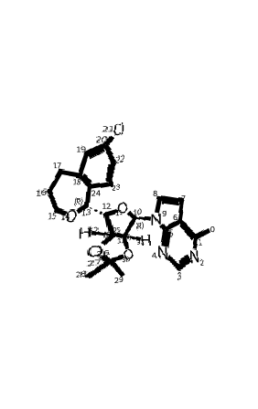 Cc1ncnc2c1ccn2[C@@H]1OC([C@@H]2OCCCc3cc(Cl)ccc32)[C@H]2OC(C)(C)O[C@H]21